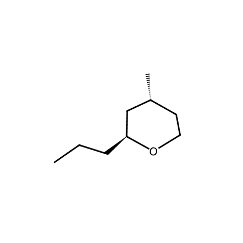 CCC[C@H]1C[C@H](C)CCO1